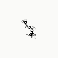 Cc1cc(O)cc2c(C3CCN(C(C)C4CCN(C(=O)C=Cc5ccc(Cl)c(Cl)c5)CC4)CC3)c[nH]c12